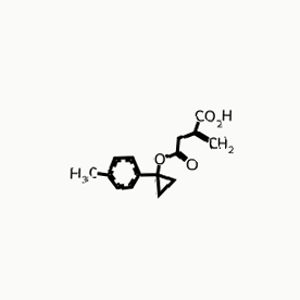 C=C(CC(=O)OC1(c2ccc(C)cc2)CC1)C(=O)O